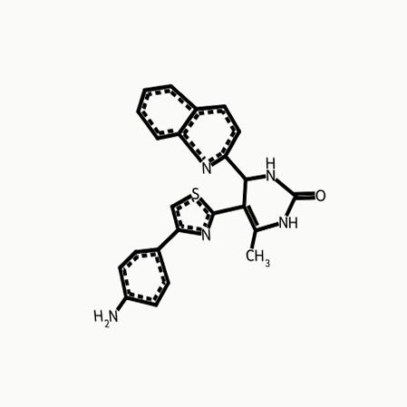 CC1=C(c2nc(-c3ccc(N)cc3)cs2)C(c2ccc3ccccc3n2)NC(=O)N1